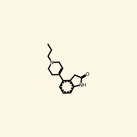 CCCN1CC=C(c2cccc3c2CC(=O)N3)CC1